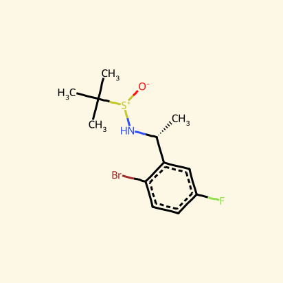 C[C@@H](N[S+]([O-])C(C)(C)C)c1cc(F)ccc1Br